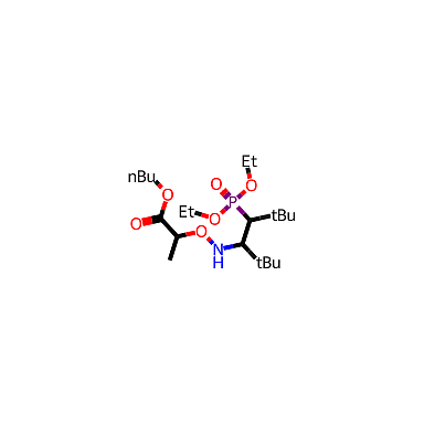 CCCCOC(=O)C(C)ONC(C(C(C)(C)C)P(=O)(OCC)OCC)C(C)(C)C